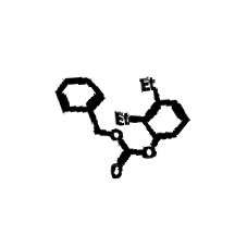 CCc1cccc(OC(=O)OCc2ccccc2)c1CC